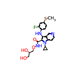 CSc1ccc(Nc2c(C(=O)NOC[C@H](O)CO)n(C3CC3)c3ccncc23)c(F)c1